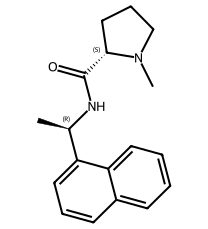 C[C@@H](NC(=O)[C@@H]1CCCN1C)c1cccc2ccccc12